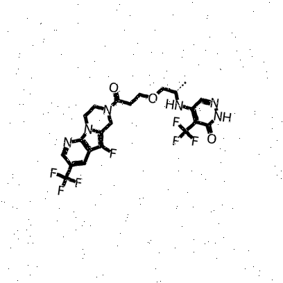 C[C@@H](COCCC(=O)N1CCn2c(c(F)c3cc(C(F)(F)F)cnc32)C1)Nc1cn[nH]c(=O)c1C(F)(F)F